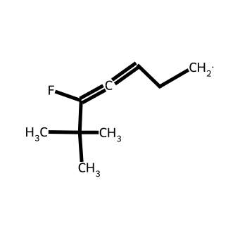 [CH2]CC=C=C(F)C(C)(C)C